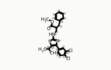 COC(=O)C(CNc1nc(-c2ccc(Cl)c(Cl)c2)c(C(C)C)s1)Cc1ccccc1